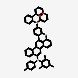 Cc1ccc(B(c2c(C)cc(C)cc2C)c2cc3c4cccc5c4c(cc3c3ccccc23)-c2ccc(N(c3cccnc3)c3ccccc3-c3ccccc3)cc2O5)cc1